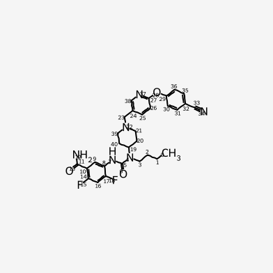 CCCCN(C(=O)Nc1cc(C(N)=O)c(F)cc1F)C1CCN(Cc2ccc(Oc3ccc(C#N)cc3)nc2)CC1